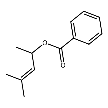 CC(C)=CC(C)OC(=O)c1ccccc1